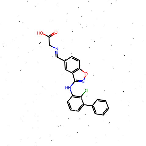 O=C(O)CN=Cc1ccc2onc(Nc3cccc(-c4ccccc4)c3Cl)c2c1